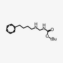 CC(C)(C)OC(=O)NCNCCCCc1ccccc1